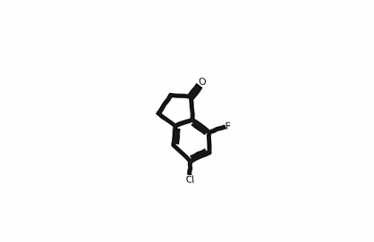 O=C1CCc2cc(Cl)cc(F)c21